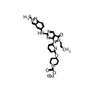 C=CCn1c(=O)c2cnc(Nc3ccc4nn(C)cc4c3)nc2n1-c1cccc(OC2CCN(C(=O)OC(C)(C)C)CC2)n1